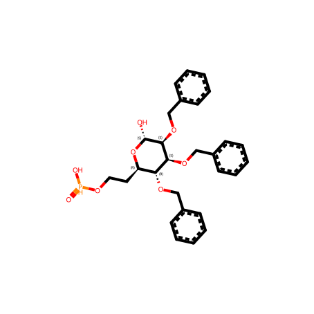 O=[PH](O)OCC[C@H]1O[C@H](O)[C@@H](OCc2ccccc2)[C@@H](OCc2ccccc2)[C@@H]1OCc1ccccc1